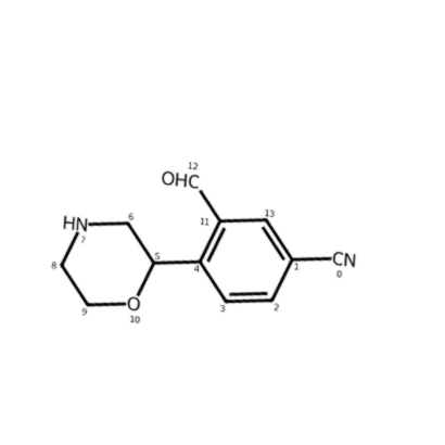 N#Cc1ccc(C2CNCCO2)c(C=O)c1